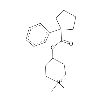 C[N+]1(C)CCC(OC(=O)C2(c3ccccc3)CCCC2)CC1